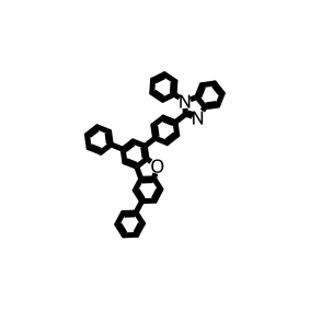 c1ccc(-c2ccc3oc4c(-c5ccc(-c6nc7ccccc7n6-c6ccccc6)cc5)cc(-c5ccccc5)cc4c3c2)cc1